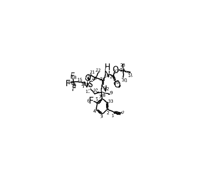 C#Cc1ccc(F)c([C@]2(C)CC[S@@](=O)(=NCC(F)(F)F)C(C)(C)C(NC(=O)OC(C)(C)C)=N2)c1